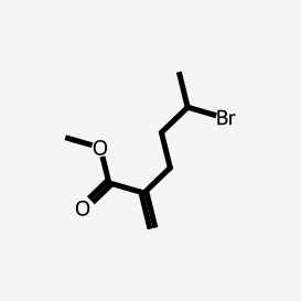 C=C(CCC(C)Br)C(=O)OC